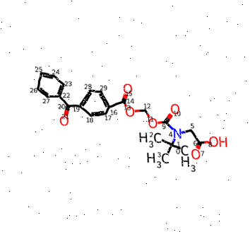 CC(C)(C)N(CC(=O)O)C(=O)OCOC(=O)c1ccc(C(=O)c2ccccc2)cc1